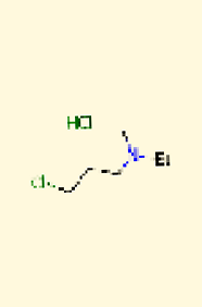 CCN(C)CCCCl.Cl